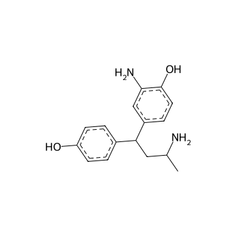 CC(N)CC(c1ccc(O)cc1)c1ccc(O)c(N)c1